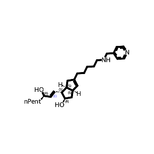 CCCCC[C@@H](O)/C=C/[C@@H]1[C@H]2CC(CCCCCNCc3ccncc3)=C[C@H]2C[C@H]1O